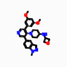 COc1cc(OC)cc(-c2cncc(-c3ccc4c(cnn4C)c3)c2N2CCC(NC3COC3)CC2)c1